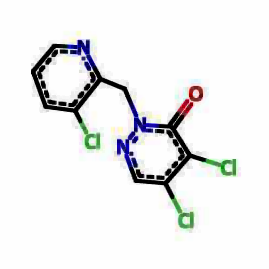 O=c1c(Cl)c(Cl)cnn1Cc1ncccc1Cl